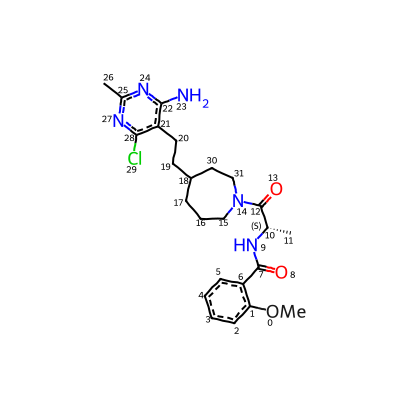 COc1ccccc1C(=O)N[C@@H](C)C(=O)N1CCCC(CCc2c(N)nc(C)nc2Cl)CC1